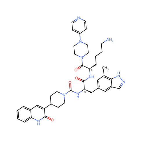 Cc1cc(C[C@@H](NC(=O)N2CCC(c3cc4ccccc4[nH]c3=O)CC2)C(=O)N[C@H](CCCCN)C(=O)N2CCN(c3ccncc3)CC2)cc2cn[nH]c12